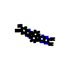 [C-]#[N+]c1nc2nc3c(nc2nc1[N+]#[C-])-c1ccc2c4c(ccc-3c14)-c1nc3cc(C#N)c(C#N)cc3nc1-2